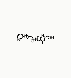 Cc1cc(CO)nc2c1CN(C(=O)CC1CN(c3cccnc3)C1)C2